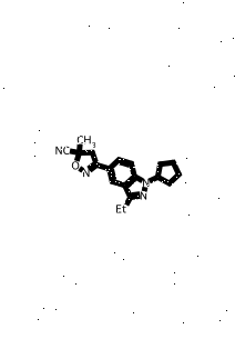 CCc1nn(C2CCCC2)c2ccc(C3=NOC(C)(C#N)C3)cc12